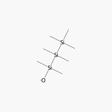 C[Si](C)(C)[Si](C)(C)[Si](C)(C)[O]